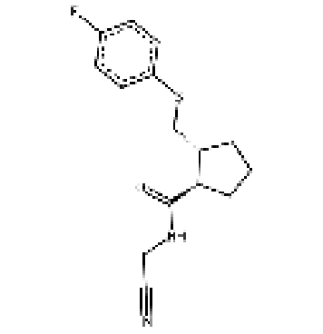 N#CCNC(=O)[C@@H]1CCC[C@H]1CSc1ccc(F)cc1